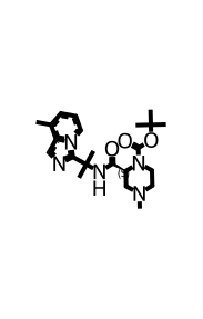 Cc1cccn2c(C(C)(C)NC(=O)[C@@H]3CN(C)CCN3C(=O)OC(C)(C)C)ncc12